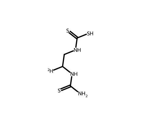 [2H]C(CNC(=S)S)NC(N)=S